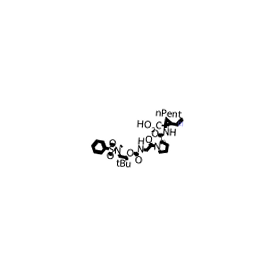 CCCCC/C=C\C1C[C@]1(NC(=O)[C@@H]1CCCN1C(=O)CNC(=O)OC(CN(C)S(=O)(=O)c1ccccc1)C(C)(C)C)C(=O)O